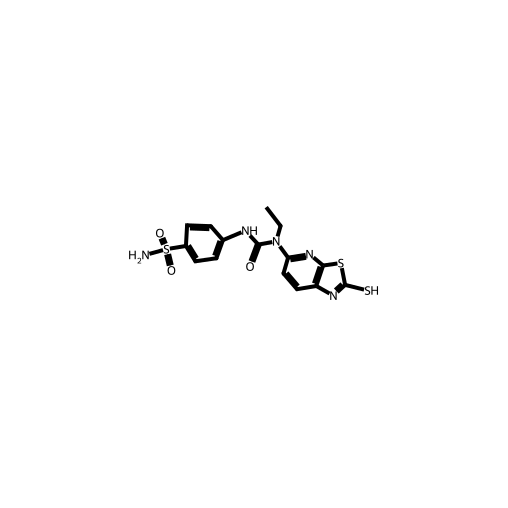 CCN(C(=O)Nc1ccc(S(N)(=O)=O)cc1)c1ccc2nc(S)sc2n1